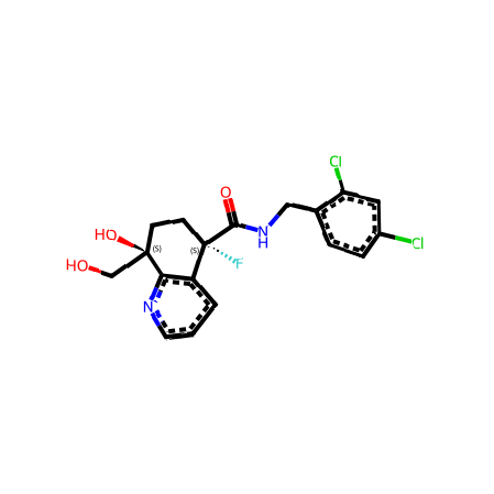 O=C(NCc1ccc(Cl)cc1Cl)[C@]1(F)CC[C@@](O)(CO)c2ncccc21